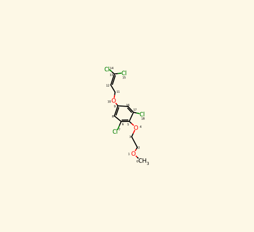 COCCOc1c(Cl)cc(OCC=C(Cl)Cl)cc1Cl